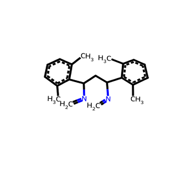 C=NC(CC(N=C)c1c(C)cccc1C)c1c(C)cccc1C